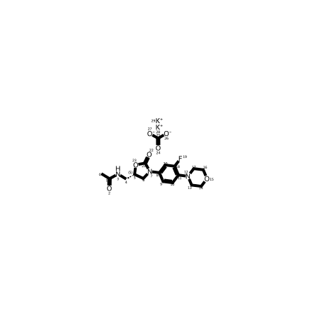 CC(=O)NC[C@H]1CN(c2ccc(N3CCOCC3)c(F)c2)C(=O)O1.O=C([O-])[O-].[K+].[K+]